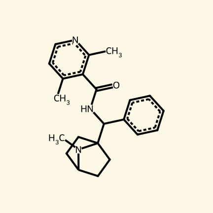 Cc1ccnc(C)c1C(=O)NC(c1ccccc1)C12CCC(CC1)N2C